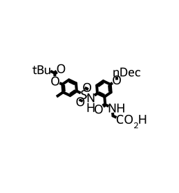 CCCCCCCCCCOc1ccc(NS(=O)(=O)c2ccc(OC(=O)C(C)(C)C)c(C)c2)c(C(=O)NCC(=O)O)c1